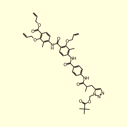 C=CCOC(=O)c1ccc(NC(=O)c2ccc(NC(=O)c3ccc(NC(=O)C(C)Cc4cnnn4COC(=O)C(C)(C)C)cc3)c(C)c2OCC=C)c(C)c1OCC=C